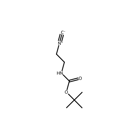 [C-]#[N+]CCNC(=O)OC(C)(C)C